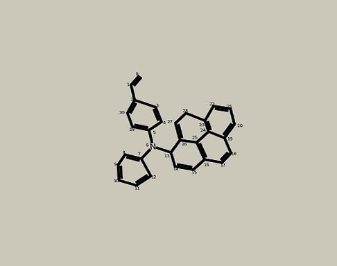 C=Cc1ccc(N(c2ccccc2)C2C=Cc3ccc4cccc5c4c3C2=CC5)cc1